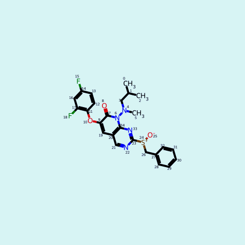 CC(C)CN(C)n1c(=O)c(Oc2ccc(F)cc2F)cc2cnc([S+]([O-])Cc3ccccc3)nc21